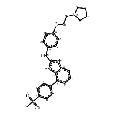 CS(=O)(=O)c1ccc(-c2cccn3nc(Nc4ccc(OCCN5CCCC5)cc4)nc23)cc1